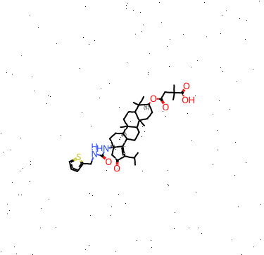 CC(C)C1=C2C3CCC4C5(C)CC[C@H](OC(=O)CC(C)(C)C(=O)O)C(C)(C)C5CCC4(C)[C@]3(C)CC[C@@]2(NC(=O)NCc2cccs2)CC1=O